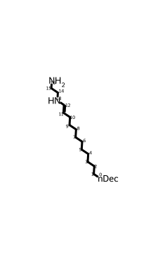 CCCCCCCCCCCCCCCCCCCCC=CNCCN